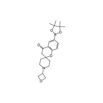 CC1(C)OB(c2ccc3c(c2)C(=O)CC2(CCN(C4COC4)CC2)O3)OC1(C)C